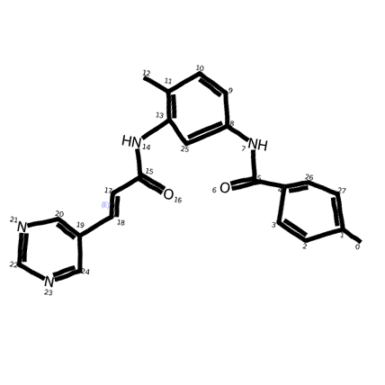 Cc1ccc(C(=O)Nc2ccc(C)c(NC(=O)/C=C/c3cncnc3)c2)cc1